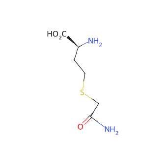 NC(=O)CSCC[C@H](N)C(=O)O